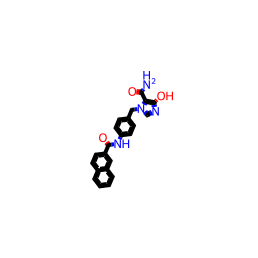 NC(=O)c1c(O)ncn1Cc1ccc(NC(=O)c2ccc3ccccc3c2)cc1